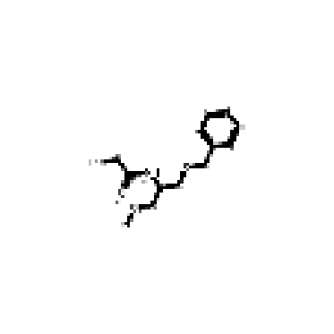 COCC(CSCc1ccccc1)NC(=O)CS